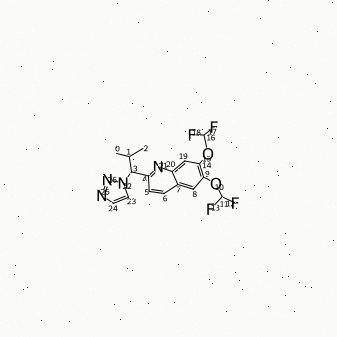 CC(C)C(c1ccc2cc(OC(F)F)c(OC(F)F)cc2n1)n1ccnn1